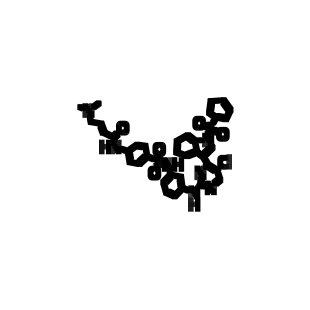 CN(C)CC=CC(=O)Nc1ccc(S(=O)(=O)Nc2cccc(Nc3ncc(Cl)c(-c4cn(S(=O)(=O)c5ccccc5)c5ccccc45)n3)c2)cc1